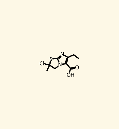 CCc1nc2n(c1C(=O)O)CC(C)(Cl)S2